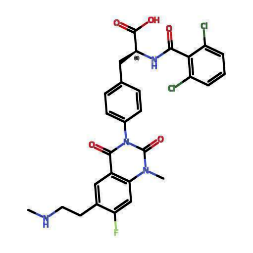 CNCCc1cc2c(=O)n(-c3ccc(C[C@H](NC(=O)c4c(Cl)cccc4Cl)C(=O)O)cc3)c(=O)n(C)c2cc1F